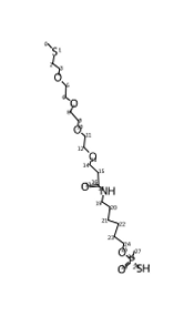 CSCCOCCOCCOCCOCCC(=O)NCCCCCCOP(C)(=O)S